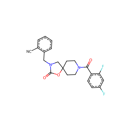 N#Cc1ccccc1CN1CC2(CCN(C(=O)c3ccc(F)cc3F)CC2)OC1=O